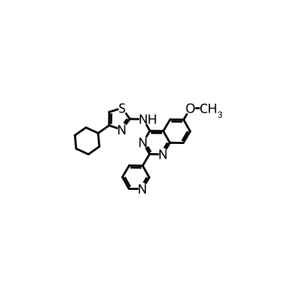 COc1ccc2nc(-c3cccnc3)nc(Nc3nc(C4CCCCC4)cs3)c2c1